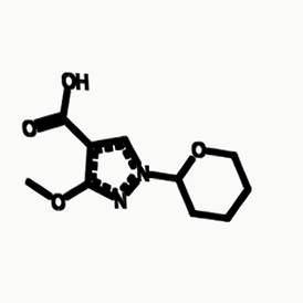 COc1nn(C2CCCCO2)cc1C(=O)O